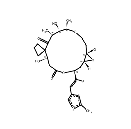 Cc1nc(C=C(F)[C@@H]2C[C@H]3O[C@@]3(Cl)CCO[C@@H](C)[C@@H](O)[C@@H](C)C(=O)C3(CCC3)[C@@H](O)CC(=O)O2)cs1